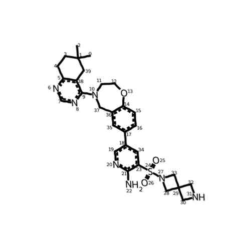 CC1(C)CCc2ncnc(N3CCOc4ccc(-c5cnc(N)c(S(=O)(=O)N6CC7(CNC7)C6)c5)cc4C3)c2C1